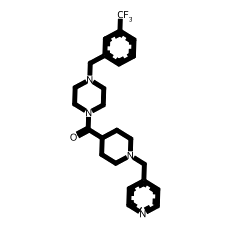 O=C(C1CCN(Cc2ccncc2)CC1)N1CCN(Cc2cccc(C(F)(F)F)c2)CC1